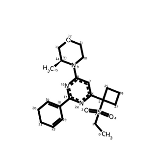 CCS(=O)(=O)C1(c2cc(N3CCOC[C@@H]3C)nc(C3=CC[CH]C=C3)n2)CCC1